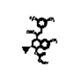 CCCOC(=O)ON1c2ccc(C(F)(F)F)cc2[C@@H](N(C=O)Cc2cc(C(F)(F)F)cc(C(F)(F)F)c2)C[C@H]1C1CC1